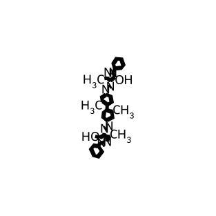 Cc1cc(N=Nc2c(C)nn(-c3ccccc3)c2O)ccc1-c1ccc(N=Nc2c(C)nn(-c3ccccc3)c2O)cc1C